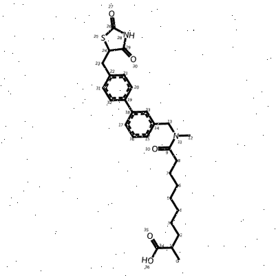 CC(CCCCCCCC(=O)N(C)Cc1cccc(-c2ccc(CC3SC(=O)NC3=O)cc2)c1)C(=O)O